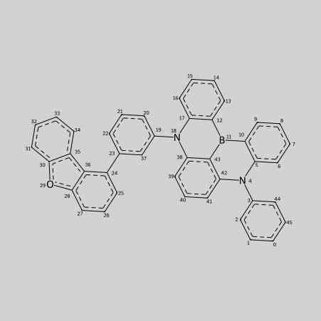 c1ccc(N2c3ccccc3B3c4ccccc4N(c4cccc(-c5cccc6oc7ccccc7c56)c4)c4cccc2c43)cc1